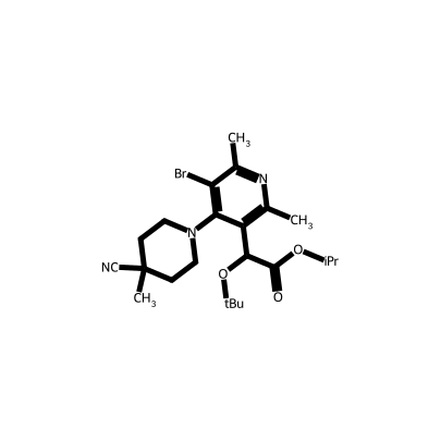 Cc1nc(C)c(C(OC(C)(C)C)C(=O)OC(C)C)c(N2CCC(C)(C#N)CC2)c1Br